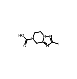 O=C(O)N1CCn2nc(I)nc2C1